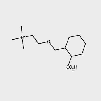 C[N+](C)(C)CCOCC1CCCCC1C(=O)O